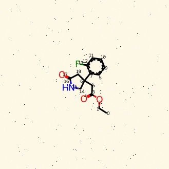 CCOC(=O)CC1(c2ccccc2F)CNC(=O)C1